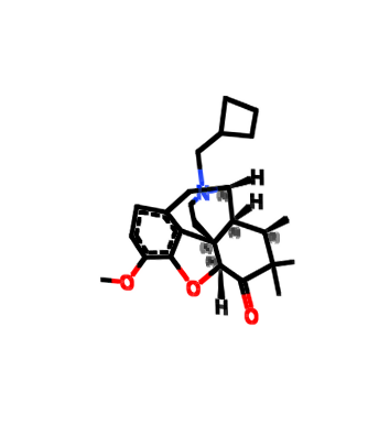 COc1ccc2c3c1O[C@H]1C(=O)C(C)(C)[C@H](C)[C@H]4[C@@H](C2)N(CC2CCC2)CC[C@@]341